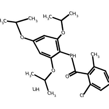 Cc1cccc(Cl)c1C(=O)Pc1c(OC(C)C)cc(OC(C)C)cc1OC(C)C.[LiH]